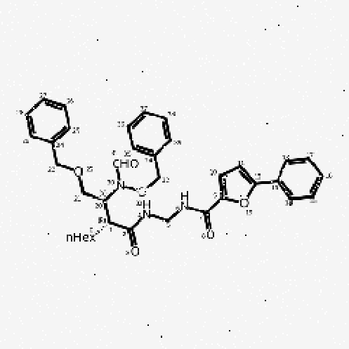 CCCCCC[C@@H](C(=O)NCNC(=O)c1ccc(-c2ccccc2)o1)[C@@H](COCc1ccccc1)N(C=O)OCc1ccccc1